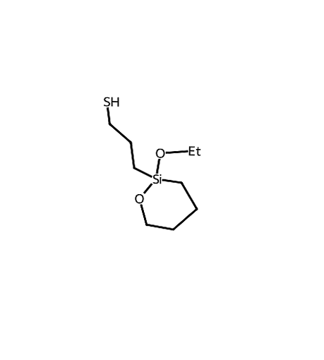 CCO[Si]1(CCCS)CCCCO1